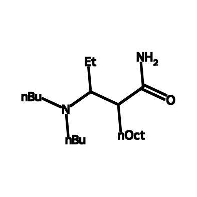 CCCCCCCCC(C(N)=O)C(CC)N(CCCC)CCCC